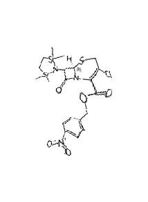 C[Si]1(C)CC[Si](C)(C)N1C1C(=O)N2C(C(=O)OCc3ccc([N+](=O)[O-])cc3)=C(Cl)CS[C@H]12